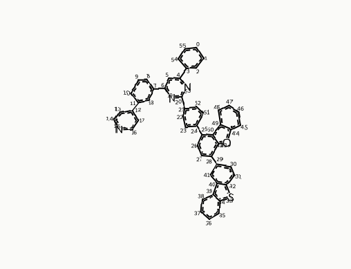 c1ccc(-c2cc(-c3cccc(-c4ccncc4)c3)nc(-c3ccc(-c4ccc(-c5ccc6sc7ccccc7c6c5)c5oc6ccccc6c45)cc3)n2)cc1